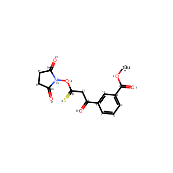 CC(C)(C)OC(=O)c1cccc(C(=O)CC(=S)ON2C(=O)CCC2=O)c1